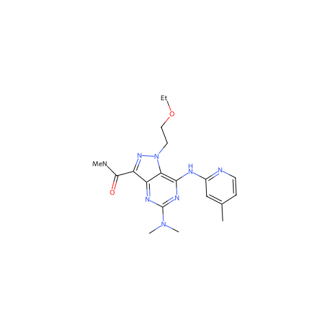 CCOCCn1nc(C(=O)NC)c2nc(N(C)C)nc(Nc3cc(C)ccn3)c21